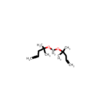 C=CCC(C)(C)O[SiH2]OC(C)(C)CC=C